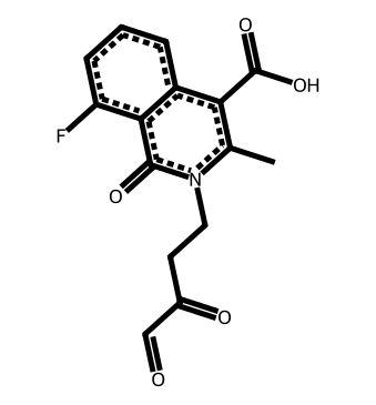 Cc1c(C(=O)O)c2cccc(F)c2c(=O)n1CCC(=O)C=O